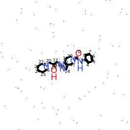 O=C(Nc1ccccc1)N1CCc2c(cnn2C[C@@H](O)CN2CCCCC2)C1